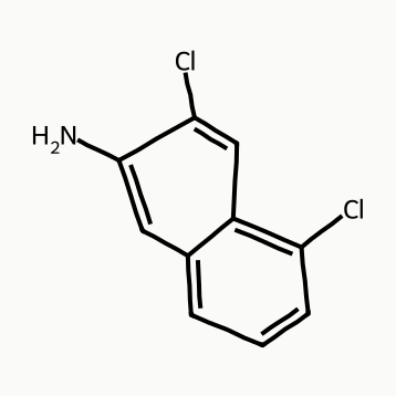 Nc1cc2cccc(Cl)c2cc1Cl